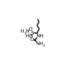 CCCCC(NC(N)=O)S(=O)O.N